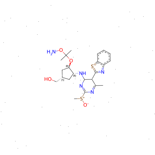 CC1=NC([S+](C)[O-])=NC(N[C@@H]2C[C@H](CO)C[C@H]2OC(C)(C)ON)C1c1nc2ccccc2s1